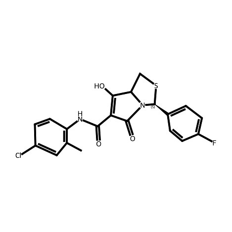 Cc1cc(Cl)ccc1NC(=O)C1=C(O)C2CS[C@@H](c3ccc(F)cc3)N2C1=O